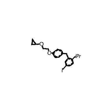 CC(C)c1ccc(I)cc1Cc1ccc(OCCOC2CC2)cc1